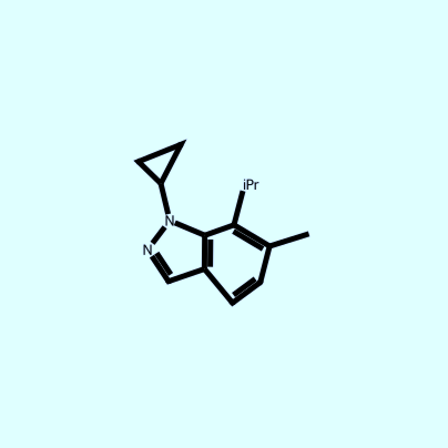 Cc1ccc2cnn(C3CC3)c2c1C(C)C